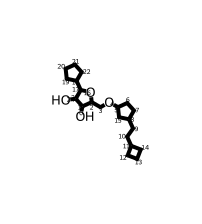 OC1C(COC2CCC(CCC3CCC3)C2)OC(C2CCCC2)C1O